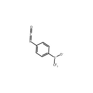 O=C=Nc1ccc([S+]([O-])C(F)(F)F)cc1